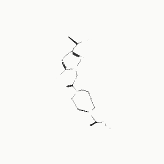 COC(=O)c1cc(C(F)(F)F)n(CC(=O)N2CCN(C(=O)OC(C)(C)C)CC2)n1